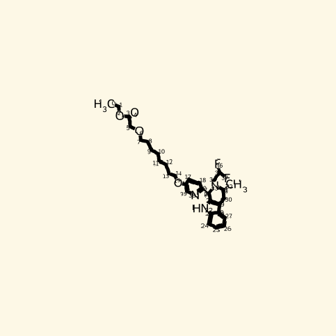 CCOC(=O)COCCCCCCCCOc1ccc([C@@H]2c3[nH]c4ccccc4c3C[C@@H](C)N2CC(F)F)nc1